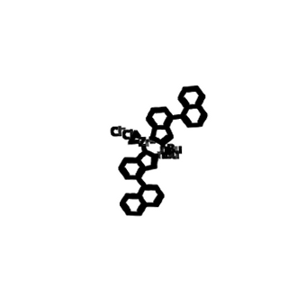 CCCCC1=Cc2c(-c3cccc4ccccc34)cccc2[CH]1[Zr+2]1([CH]2C(CCCC)=Cc3c(-c4cccc5ccccc45)cccc32)[CH2][CH2]1.[Cl-].[Cl-]